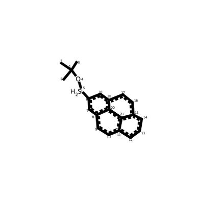 CC(C)(C)O[SiH2]c1cc2ccc3cccc4ccc(c1)c2c34